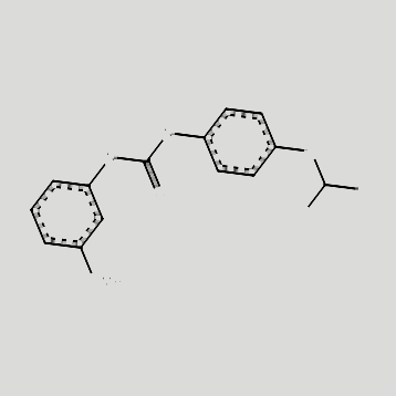 COc1cccc(NC(=O)Nc2ccc(OC(F)F)cc2)c1